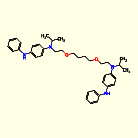 CC(C)N(CCOCCCCOCCN(c1ccc(Nc2ccccc2)cc1)C(C)C)c1ccc(Nc2ccccc2)cc1